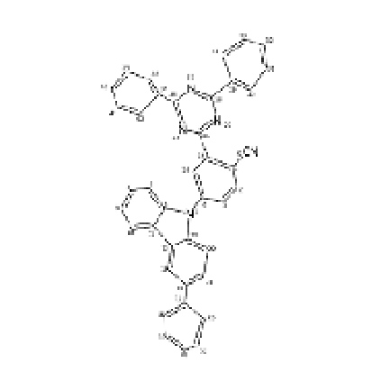 N#Cc1ccc(-n2c3ccccc3c3cc(-c4ccccc4)ccc32)cc1-c1nc(-c2ccccc2)nc(-c2ccccc2)n1